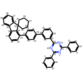 c1ccc(-c2nc(-c3ccccc3)nc(-c3cccc(-c4ccc(-c5cccc6c5C5(CCCCC5)c5ccccc5-6)cc4)c3)n2)cc1